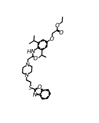 CCOC(=O)COc1cc(C(C)C)c(NC(=O)CN2CCN(CCSc3nc4ccccc4o3)CC2)c(C(C)C)c1